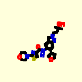 CC(C)(O)CCn1cc2cc(NC(=O)c3csc(N4CCOCC4)n3)c(-c3ccoc3)cc2n1